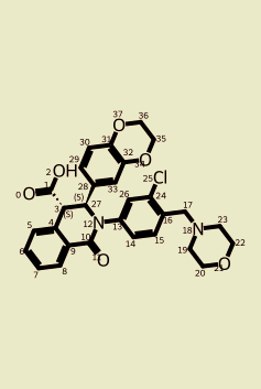 O=C(O)[C@H]1c2ccccc2C(=O)N(c2ccc(CN3CCOCC3)c(Cl)c2)[C@@H]1c1ccc2c(c1)OCCO2